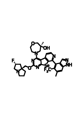 Cc1cc2[nH]ncc2c(-c2nccc3c2[se]c2nc(OC[C@@]45CCCN4C[C@H](F)C5)nc(N4CCOC[C@@](C)(O)C4)c23)c1C(F)(F)F